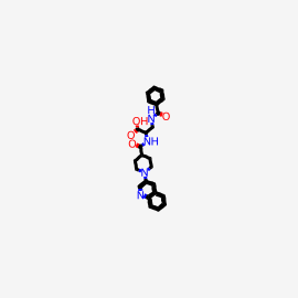 O=C(NCC(NC(=O)C1CCN(c2cnc3ccccc3c2)CC1)C(=O)O)c1ccccc1